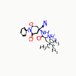 CC(C)(C)CC(N)C(=O)NC1(C#N)CC(=O)N(c2ccccc2)C(=O)C1